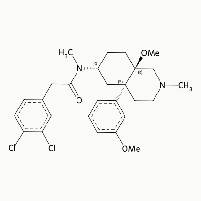 COc1cccc([C@@]23CCN(C)C[C@@]2(OC)CC[C@@H](N(C)C(=O)Cc2ccc(Cl)c(Cl)c2)C3)c1